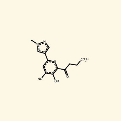 Cn1cc(-c2cc(C#N)c(O)c(C(=O)CCC(=O)O)n2)cn1